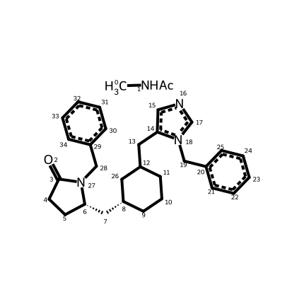 CNC(C)=O.O=C1CC[C@@H](C[C@H]2CCCC(Cc3cncn3Cc3ccccc3)C2)N1Cc1ccccc1